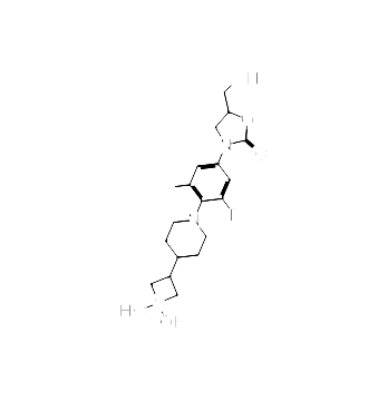 O=C1OC(CO)CN1c1cc(F)c(N2CCC(C3CS(O)(O)C3)CC2)c(F)c1